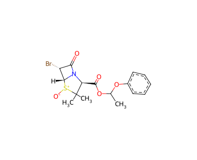 CC(OC(=O)[C@@H]1N2C(=O)[C@@H](Br)[C@H]2[S+]([O-])C1(C)C)Oc1ccccc1